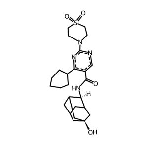 O=C(N[C@H]1C2CC3CC1C[C@@](O)(C3)C2)c1cnc(N2CCS(=O)(=O)CC2)nc1C1CCCCC1